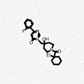 CCC1(C(=O)N2CCC(O)(Cn3cnc(-c4ccccc4F)cc3=O)CC2)CCCCC1